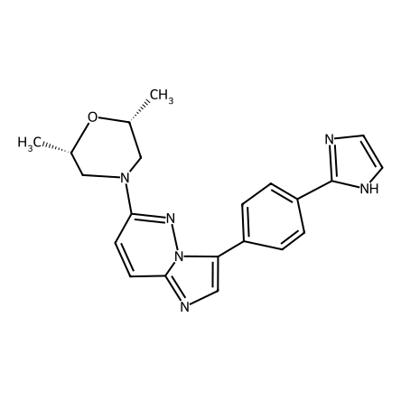 C[C@@H]1CN(c2ccc3ncc(-c4ccc(-c5ncc[nH]5)cc4)n3n2)C[C@H](C)O1